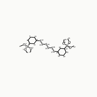 CO[Si](OC)(OC)C1CCCC(SSSSSSC2CCCC([Si](OC)(OC)OC)C2)C1